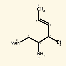 CC=CC(CC)C(N)CNC